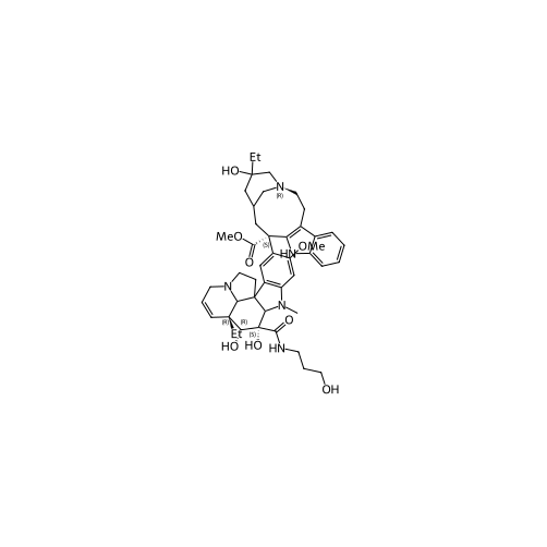 CCC1(O)CC2C[N@](CCc3c([nH]c4ccccc34)[C@@](C(=O)OC)(c3cc4c(cc3OC)N(C)C3C45CCN4CC=C[C@](CC)(C45)[C@@H](O)[C@]3(O)C(=O)NCCCO)C2)C1